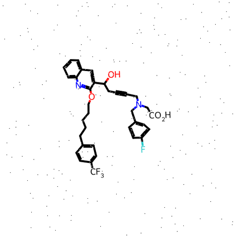 O=C(O)CN(CC#CCC(O)c1cc2ccccc2nc1OCCCCCc1ccc(C(F)(F)F)cc1)Cc1ccc(F)cc1